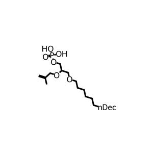 C=C(C)COC(COCCCCCCCCCCCCCCCC)COP(=O)(O)O